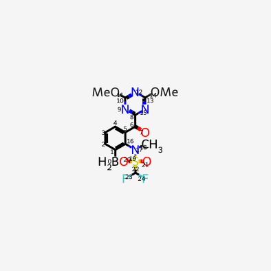 Bc1cccc(C(=O)c2nc(OC)nc(OC)n2)c1N(C)S(=O)(=O)C(F)F